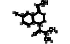 CN(C)C(=O)N1CCC(=NO)c2cc(F)ccc21